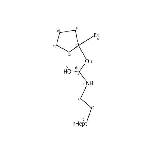 CCCCCCCCCN[C@H](O)OC1(CC)CCCC1